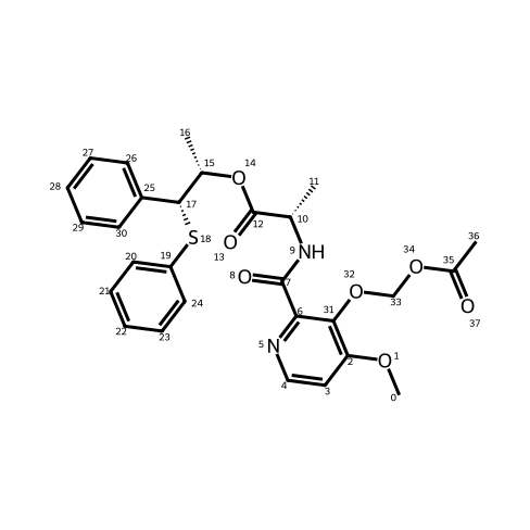 COc1ccnc(C(=O)N[C@@H](C)C(=O)O[C@@H](C)[C@H](Sc2ccccc2)c2ccccc2)c1OCOC(C)=O